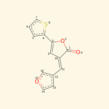 O=C1OC(c2cccs2)=CC1=Cc1ccoc1